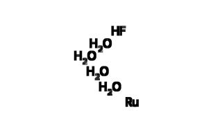 F.O.O.O.O.[Ru]